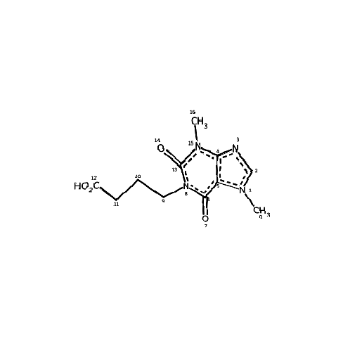 Cn1cnc2c1c(=O)n(CCCC(=O)O)c(=O)n2C